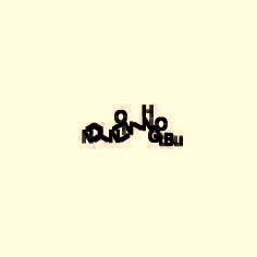 CC(C)(C)OC(=O)NCCN1CCN(Cc2cccnc2)CC1=O